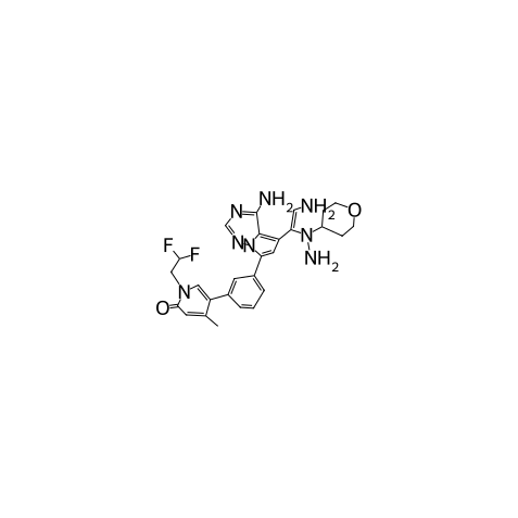 Cc1cc(=O)n(CC(F)F)cc1-c1cccc(-c2cc(/C(=C/N)N(N)C3CCOCC3)c3c(N)ncnn23)c1